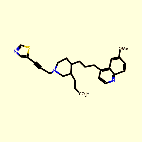 COc1ccc2nccc(CCCC3CCN(CC#Cc4cncs4)CC3CCC(=O)O)c2c1